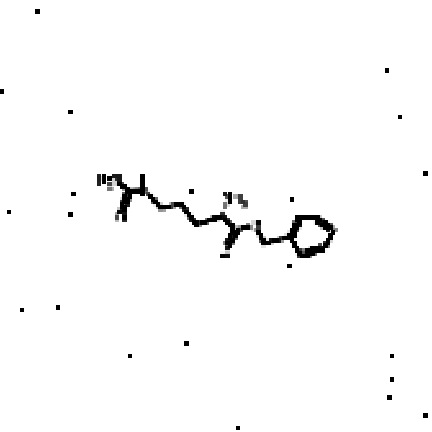 NC(=O)NCCC[C@H](N)C(=O)OCc1ccccc1